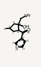 CC(C)CC1(O)CC(C)CC1C(=O)c1ccoc1